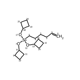 C=CCCCC[Si](OC1CCC1)(OC1CCC1)OC1CCC1